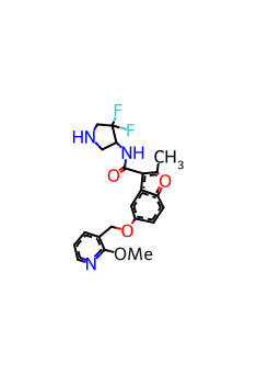 COc1ncccc1COc1ccc2oc(C)c(C(=O)NC3CNCC3(F)F)c2c1